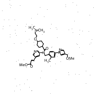 COCc1cnn(-c2ccc(CN(C(=O)C3CCC(OCCN(C)C)CC3)c3cncc(/C=C/C(=O)OC)c3)c(C)c2)c1